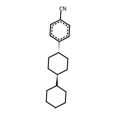 N#Cc1ccc([C@H]2CC[C@H](C3CC[CH]CC3)CC2)cc1